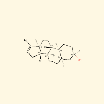 CC(=O)C1=CC[C@H]2[C@@H]3CC[C@@H]4C[C@](C)(O)CC[C@]4(C)[C@H]3CC[C@]12C